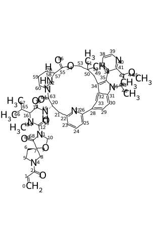 C=CC(=O)N1CC[C@]2(C1)OCN(C(=O)N(C)C(C(=O)N[C@H]1Cc3cccc(n3)-c3ccc4c(c3)c(c(-c3cccnc3[C@H](C)OC)n4CC)CC(C)(C)COC(=O)[C@@H]3CCCN(N3)C1=O)C(C)C)C2=O